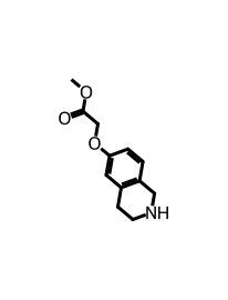 COC(=O)COc1ccc2c(c1)CCNC2